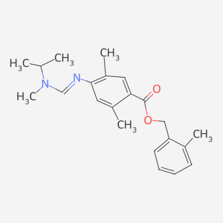 Cc1ccccc1COC(=O)c1cc(C)c(/N=C/N(C)C(C)C)cc1C